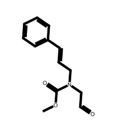 COC(=O)N(CC=O)C/C=C/c1ccccc1